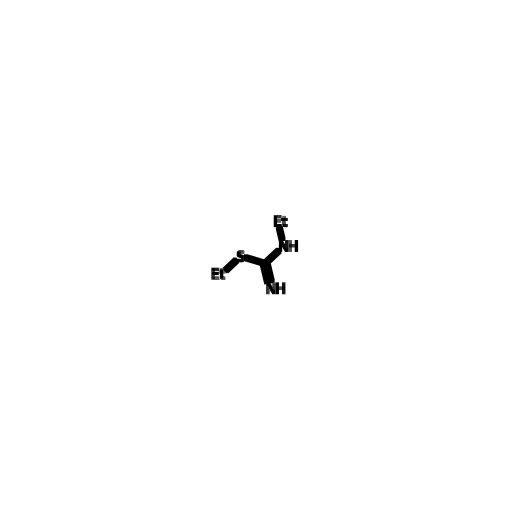 CCNC(=N)SCC